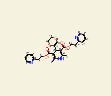 CC1=C(C(=O)OCCc2ccccn2)C(C2=CSCCS2)C(C(=O)OCCc2ccccn2)=C(C)N1